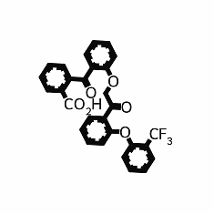 O=C(COc1ccccc1C(=O)c1ccccc1C(=O)O)c1ccccc1Oc1ccccc1C(F)(F)F